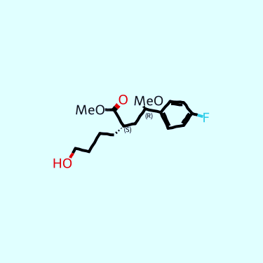 COC(=O)[C@@H](CCCCO)C[C@@H](OC)c1ccc(F)cc1